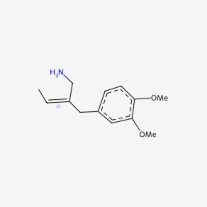 C/C=C(\CN)Cc1ccc(OC)c(OC)c1